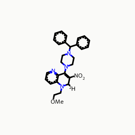 [2H]C1C([N+](=O)[O-])=C(N2CCN(C(c3ccccc3)c3ccccc3)CC2)c2ncccc2N1CCOC